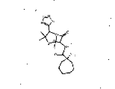 CC1(C)S[C@H]2C(NC(=O)C3(N)CCCCCC3)C(=O)N2C1c1nnn[nH]1